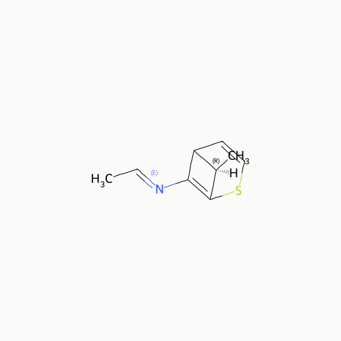 C/C=N/C1=C2SC=CC1[C@H]2C